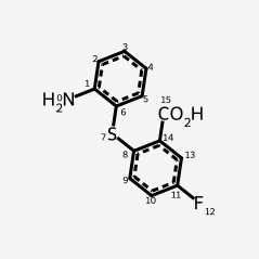 Nc1ccccc1Sc1ccc(F)cc1C(=O)O